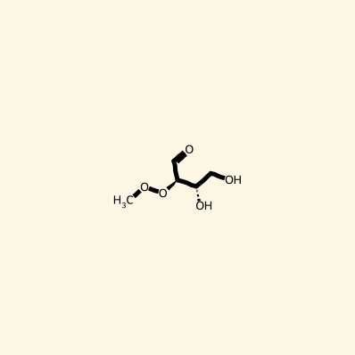 COO[C@@H](C=O)[C@@H](O)CO